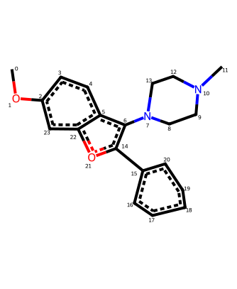 COc1ccc2c(N3CCN(C)CC3)c(-c3ccccc3)oc2c1